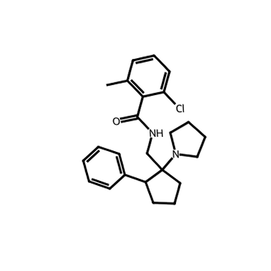 Cc1cccc(Cl)c1C(=O)NCC1(N2CCCC2)CCCC1c1ccccc1